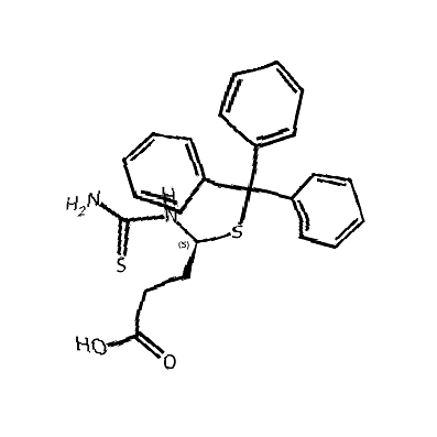 NC(=S)N[C@H](CCC(=O)O)SC(c1ccccc1)(c1ccccc1)c1ccccc1